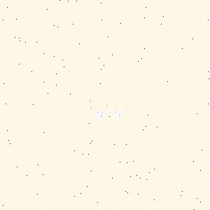 CN1C(=O)CCc2c[c]([Sn]([CH3])([CH3])[CH3])cnc21